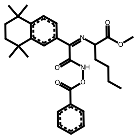 CCCCC(N=C(C(=O)NOC(=O)c1ccccc1)c1ccc2c(c1)C(C)(C)CCC2(C)C)C(=O)OC